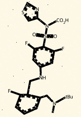 CN(Cc1cccc(F)c1CNc1cc(F)c(S(=O)(=O)N(C(=O)O)c2cscn2)c(F)c1)C(C)(C)C